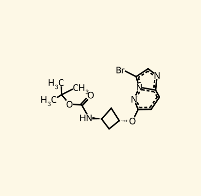 CC(C)(C)OC(=O)N[C@H]1C[C@H](Oc2ccc3ncc(Br)n3n2)C1